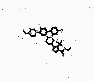 CCOC(=O)c1cnn(C2CCCN(c3cc(Cl)ccc3-c3ccc(N4CCN(CC)CC4)c(F)c3)C2)c1C(F)(F)F